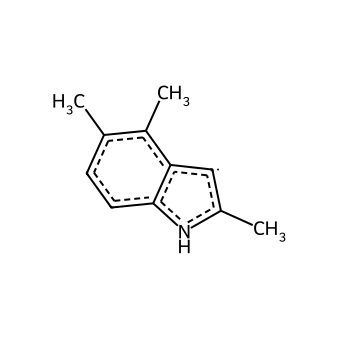 Cc1[c]c2c(C)c(C)ccc2[nH]1